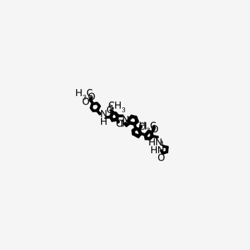 COC(=O)C1CCC(CNCc2cc(Cl)c(Cn3ncc4c(-c5cccc(-c6ccc(CNC[C@@H]7CCC(=O)N7)c(OC)c6)c5Cl)cccc43)cc2OC)CC1